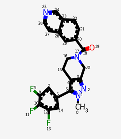 Cn1nc2c(c1-c1cc(F)c(F)c(F)c1)CCN(C(=O)c1ccc3cnccc3c1)C2